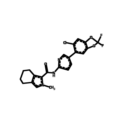 Cn1cc2c(c1C(=O)Nc1ccc(-c3cc4c(cc3Cl)OC(F)(F)O4)cn1)CCCC2